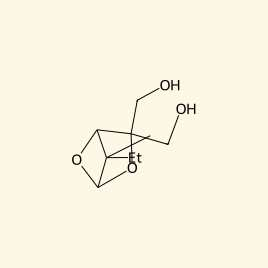 CCC1(C)C2OC1C(CO)(CO)O2